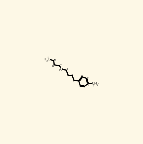 [CH2]c1ccc(CCCCOCCCC)cc1